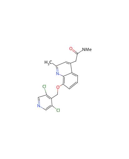 CNC(=O)Cc1cc(C)nc2c(OCc3c(Cl)cncc3Cl)cccc12